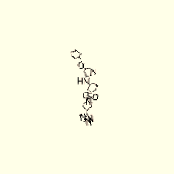 Cn1cnnc1C1CCN(S(=O)(=O)c2cccc(Nc3cncc(OCc4ccccc4)c3)c2)CC1